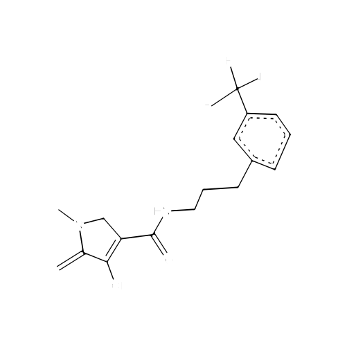 C=C1C(O)=C(C(=O)NCCCc2cccc(C(F)(F)F)c2)CN1C